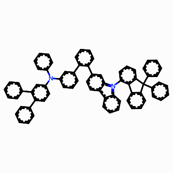 c1ccc(-c2ccc(N(c3ccccc3)c3cccc(-c4ccccc4-c4ccc5c6ccccc6n(-c6cccc7c6-c6ccccc6C7(c6ccccc6)c6ccccc6)c5c4)c3)cc2-c2ccccc2)cc1